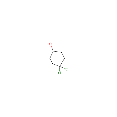 [O]C1CCC(Cl)(Cl)CC1